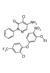 CCOc1cc(Oc2ccc(C(F)(F)F)cc2Cl)ccc1[N+](=O)[O-].Nc1cnn(-c2ccccc2)c(=O)c1Cl